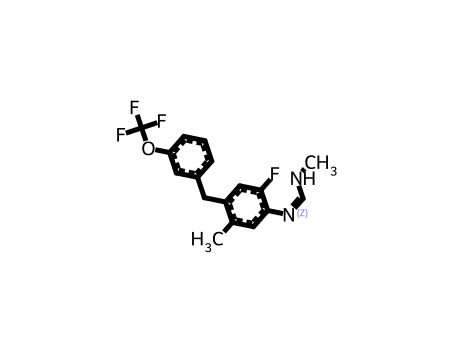 CN/C=N\c1cc(C)c(Cc2cccc(OC(F)(F)F)c2)cc1F